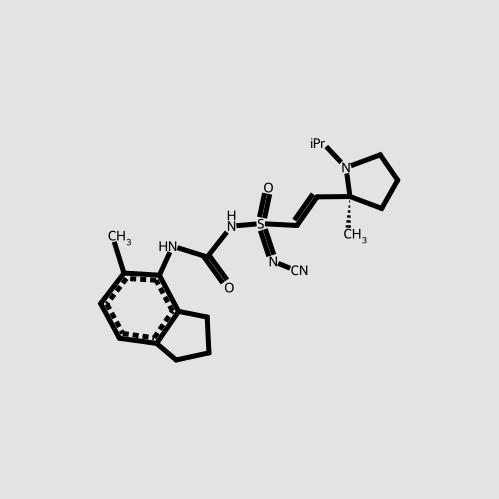 Cc1ccc2c(c1NC(=O)NS(=O)(/C=C/[C@]1(C)CCCN1C(C)C)=NC#N)CCC2